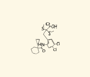 CSC(Cc1cc(Cl)c(Cl)cc1NC(=O)C1(C2CC2)CCCCC1)(SC)C(=O)O